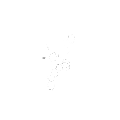 N#Cc1cc(N2c3ccccc3C3CC4c5ccccc5SC4CC32)c(-n2c3ccccc3c3cc4c(cc32)sc2ccccc24)cc1C#N